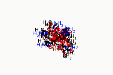 CC[C@H]1O[C@@H](n2cc(C)c(N)nc2=O)CC1OP(=O)(S)OC[C@H]1O[C@@H](n2cc(C)c(N)nc2=O)[C@@H](OCCOC)C1OP(=O)(O)OC[C@H]1O[C@@H](n2cc(C)c(=O)[nH]c2=O)[C@@H](OCCOC)C1OP(=O)(O)OC[C@H]1O[C@@H](n2cc(C)c(=O)[nH]c2=O)[C@@H](OCCOC)C1OP(=O)(S)OC[C@H]1O[C@@H](n2cc(C)c(N)nc2=O)[C@@H](OCCOC)C1OP(=O)(S)OC[C@H]1O[C@@H](n2cnc3c(N)ccnc32)[C@@H](OCCOC)C1O